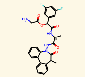 CC1C(=O)N(NC(=O)[C@H](C)NC(=O)C(OC(=O)CN)c2cc(F)cc(F)c2)c2ccccc2-c2ccccc21